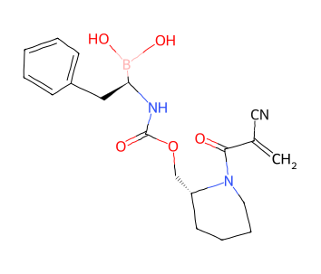 C=C(C#N)C(=O)N1CCCC[C@@H]1COC(=O)N[C@@H](Cc1ccccc1)B(O)O